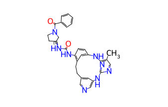 Cc1cnc2nc1Nc1ccc(NC(=O)N[C@H]3CCN(C(=O)c4ccccc4)C3)c(c1)CCc1cncc(c1)N2